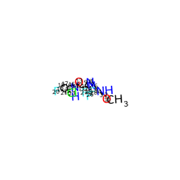 COCCNCCn1ncc(CC(=O)NCc2ccc(F)cc2Cl)c1C(F)(F)F